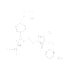 CCC(C)c1ccc(Cn2c(/N=N/c3sc(N(CC)CC)nc3-c3ccc(OC(C)C(=O)O)cc3)nc(C#N)c2C#N)cc1